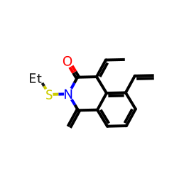 C=Cc1cccc2c(=C)n(SCC)c(=O)/c(=C/C)c12